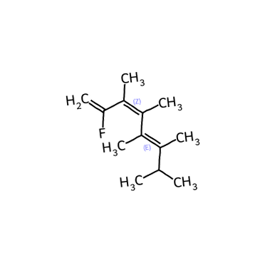 C=C(F)/C(C)=C(C)\C(C)=C(/C)C(C)C